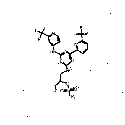 CCC(CNc1nc(Nc2ccnc(C(F)(F)F)c2)nc(-c2cccc(C(F)(F)F)n2)n1)OS(C)(=O)=O